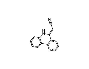 N#CC=C1Nc2ccccc2-c2ccccc21